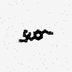 CCCCSc1ccc(OP(=S)(OC(C)C)OC(C)C)nn1